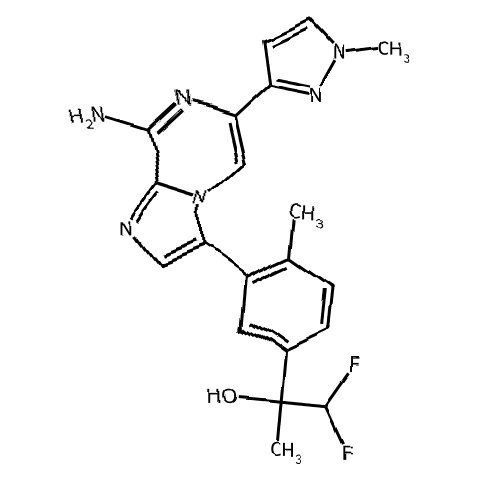 Cc1ccc(C(C)(O)C(F)F)cc1-c1cnc2c(N)nc(-c3ccn(C)n3)cn12